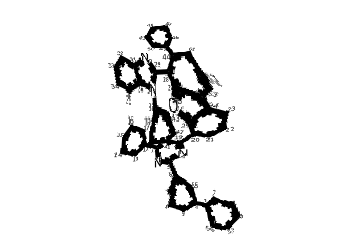 c1ccc(-c2cccc(-c3nc(-c4ccccc4)nc(-c4cccc5c4oc4c(-c6nc7ccccc7n6-c6ccccc6)c(-c6ccccc6)ccc45)n3)c2)cc1